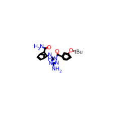 CC(C)(C)Oc1cccc(C(=O)n2nc(N)nc2NC2C3C=CC(C3)C2C(N)=O)c1